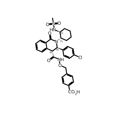 CS(=O)(=O)N[C@H]1CCCC[C@@H]1N1C(=O)c2ccccc2[C@@H](C(=O)NOCc2ccc(C(=O)O)cc2)[C@@H]1c1ccc(Cl)cc1